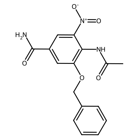 CC(=O)Nc1c(OCc2ccccc2)cc(C(N)=O)cc1[N+](=O)[O-]